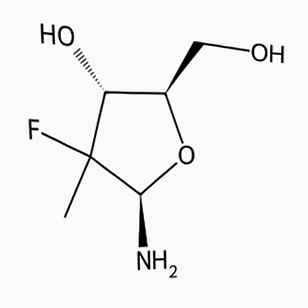 CC1(F)[C@H](N)O[C@H](CO)[C@H]1O